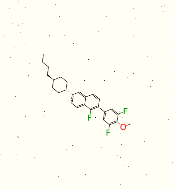 CCCC[C@H]1CC[C@H](c2ccc3c(F)c(-c4cc(F)c(OC)c(F)c4)ccc3c2)CC1